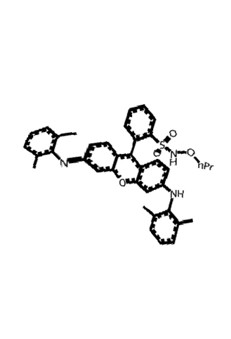 CCCONS(=O)(=O)c1ccccc1-c1c2cc/c(=N\c3c(C)cccc3C)cc-2oc2cc(Nc3c(C)cccc3C)ccc12